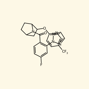 O=C(c1ccc(F)cc1-n1nccn1)N1C2CCC1C(Oc1ccc(C(F)(F)F)cn1)C2